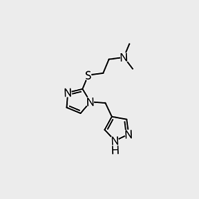 CN(C)CCSc1nccn1Cc1cn[nH]c1